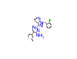 C=C/C=C(\C=C/C)c1cnc(-c2nn(Cc3ccccc3F)c3ncccc23)nc1N